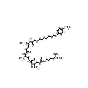 N[C@H]([C]=O)CCCCNC(=O)CC[C@H](NC(=O)CCC(NC(=O)CC[C@H](NC(=O)CCCCCCCCCOc1ccc(C(=O)O)cc1)C(=O)O)C(=O)O)C(=O)O